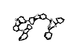 c1ccc(-c2nc(-c3ccccc3)nc(-c3ccc4oc5cc(-c6ccc7sc8cccc(-n9c%10ccccc%10c%10ccccc%109)c8c7c6)ccc5c4c3)n2)cc1